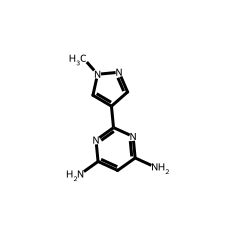 Cn1cc(-c2nc(N)cc(N)n2)cn1